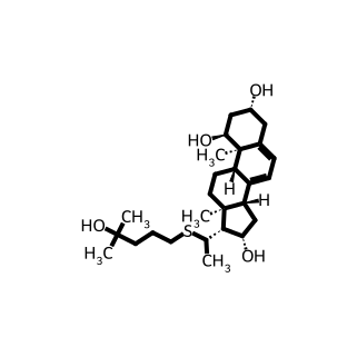 CC(SCCCC(C)(C)O)[C@H]1[C@@H](O)C[C@H]2C3=CC=C4C[C@@H](O)C[C@H](O)[C@]4(C)[C@H]3CC[C@@]21C